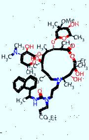 CCOC(=O)CCN(CCCN1C[C@H](C)C[C@@](C)(O)[C@H](O[C@@H]2O[C@H](C)C[C@H](N(C)C)[C@H]2O)[C@@H](C)[C@H](O[C@H]2C[C@@](C)(OC)[C@@H](O)[C@H](C)O2)[C@@H](C)C(=O)O[C@H](CC)[C@@](C)(O)[C@H](O)[C@H]1C)C(=O)NC(C)c1cccc2ccccc12